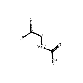 [NH]C(=O)NCC(F)F